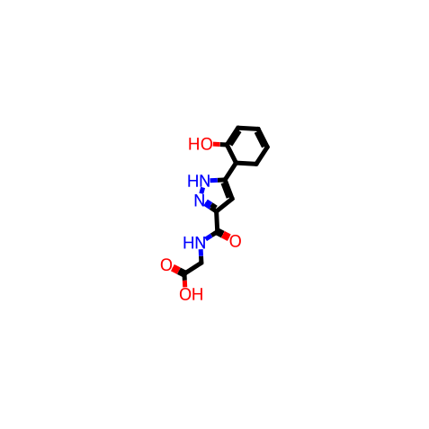 O=C(O)CNC(=O)c1cc(C2CC=CC=C2O)[nH]n1